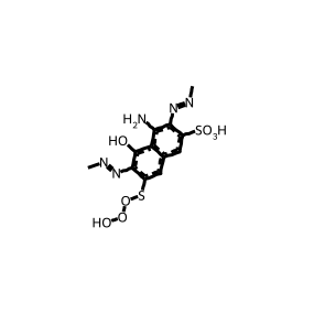 CN=Nc1c(S(=O)(=O)O)cc2cc(SOOO)c(N=NC)c(O)c2c1N